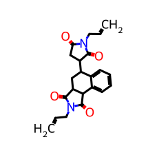 C=CCN1C(=O)CC(C2CC3C(=O)N(CC=C)C(=O)C3c3ccccc32)C1=O